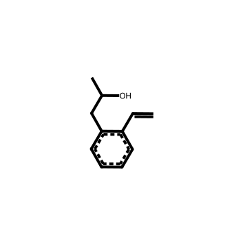 C=Cc1ccccc1CC(C)O